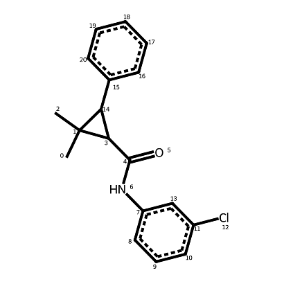 CC1(C)C(C(=O)Nc2cccc(Cl)c2)C1c1ccccc1